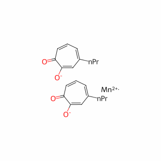 CCCc1cccc(=O)c([O-])c1.CCCc1cccc(=O)c([O-])c1.[Mn+2]